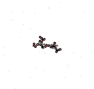 CC1(C)c2ccc(-c3ccc4oc5c(c4c3)NC(c3ccccc3)NC5c3ccc(-n4c5ccccc5c5cc6ccccc6cc54)cc3)cc2-c2ccc(-c3cc(C4=Cc5c(sc6ccc(-c7cccc8c7-c7ccccc7C8(C)C)cc56)C(c5ccc(-n6c7ccccc7c7cc8ccccc8cc76)c6ccc#cc56)N4)ccn3)cc21